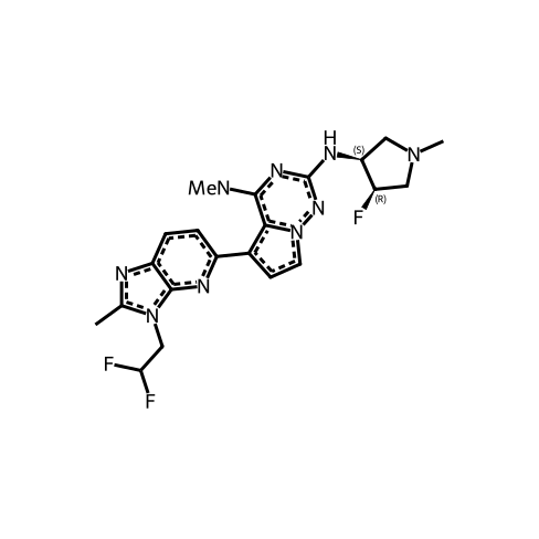 CNc1nc(N[C@H]2CN(C)C[C@H]2F)nn2ccc(-c3ccc4nc(C)n(CC(F)F)c4n3)c12